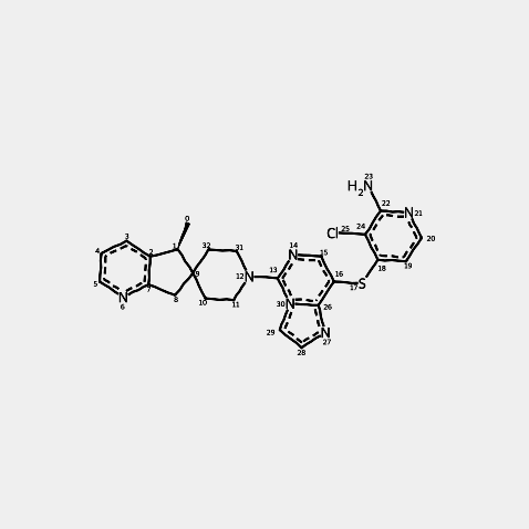 C[C@@H]1c2cccnc2CC12CCN(c1ncc(Sc3ccnc(N)c3Cl)c3nccn13)CC2